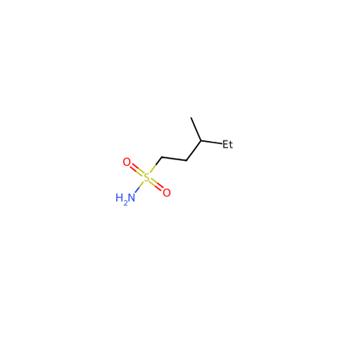 CCC(C)CCS(N)(=O)=O